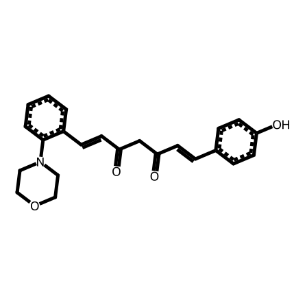 O=C(C=Cc1ccc(O)cc1)CC(=O)C=Cc1ccccc1N1CCOCC1